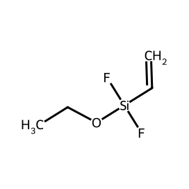 C=C[Si](F)(F)OCC